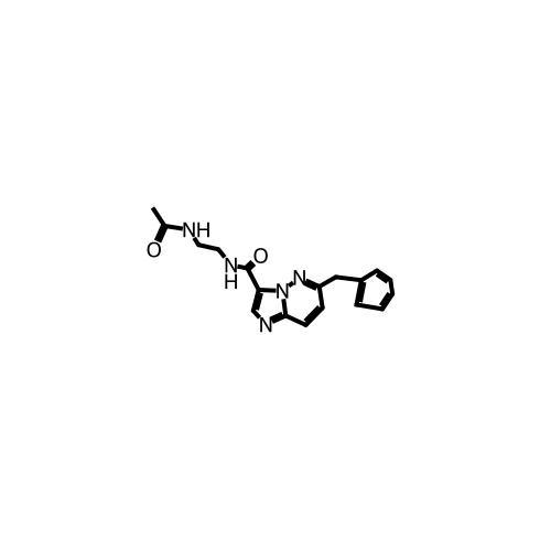 CC(=O)NCCNC(=O)c1cnc2ccc(Cc3ccccc3)nn12